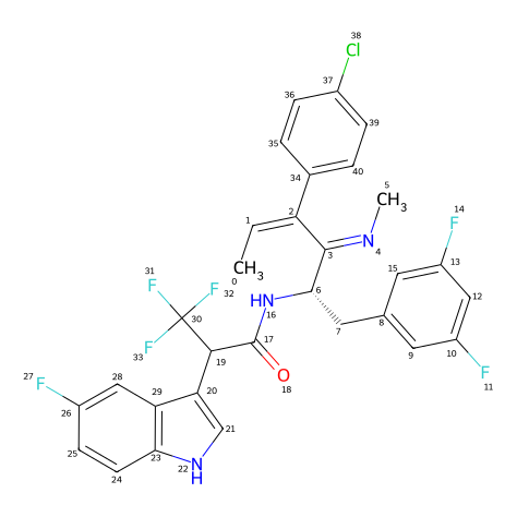 C/C=C(\C(=N/C)[C@H](Cc1cc(F)cc(F)c1)NC(=O)C(c1c[nH]c2ccc(F)cc12)C(F)(F)F)c1ccc(Cl)cc1